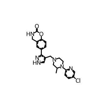 CC1CN(Cc2c[nH]nc2-c2ccc3c(c2)CNC(=O)O3)CCN1c1ccc(Cl)cn1